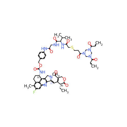 C=CC(=O)N1CN(C(=O)C=C)CN(C(=O)CCSCC(=O)NC(C(=O)NCC(=O)Nc2ccc(COC(=O)N[C@H]3CCc4c(C)c(F)cc5nc6c(c3c45)CN(C)/C6=C\C3=C(C=O)COC(=O)[C@@H]3CC)cc2)C(C)C)C1